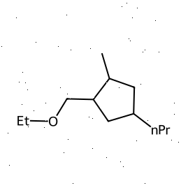 CCCC1CC(C)C(COCC)C1